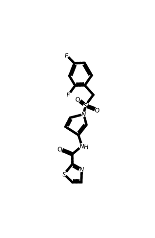 O=C(Nc1ccn(S(=O)(=O)Cc2ccc(F)cc2F)c1)c1nccs1